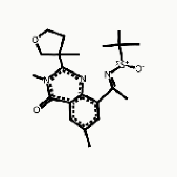 CC(=N[S@+]([O-])C(C)(C)C)c1cc(C)cc2c(=O)n(C)c(C3(C)CCOC3)nc12